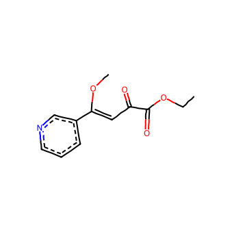 CCOC(=O)C(=O)/C=C(\OC)c1cccnc1